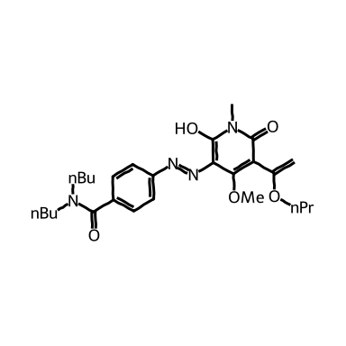 C=C(OCCC)c1c(OC)c(/N=N/c2ccc(C(=O)N(CCCC)CCCC)cc2)c(O)n(C)c1=O